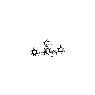 Cc1cccc(C=NNc2cc(N3CCCCC3)nc(OCCc3ccccn3)n2)c1